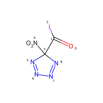 O=C(I)C1([N+](=O)[O-])N=NN=N1